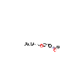 CC(=O)OCCCCCCOc1ccc(Cc2ccc(/C=C/C(=O)c3ccccc3)cc2)cc1